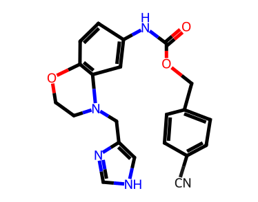 N#Cc1ccc(COC(=O)Nc2ccc3c(c2)N(Cc2c[nH]cn2)CCO3)cc1